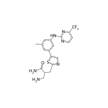 Cc1cc(Nc2nccc(C(F)(F)F)n2)cc(-c2cnc(CC(CN)C(N)=O)s2)c1